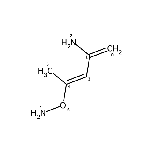 C=C(N)/C=C(\C)ON